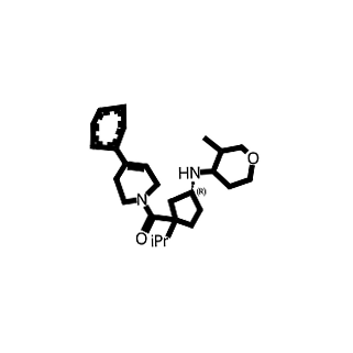 CC1COCCC1N[C@@H]1CCC(C(=O)N2CC=C(c3ccccc3)CC2)(C(C)C)C1